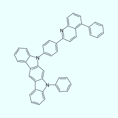 c1ccc(-c2cccc3nc(-c4ccc(-n5c6ccccc6c6cc7c8ccccc8n(-c8ccccc8)c7cc65)cc4)ccc23)cc1